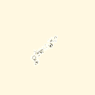 N#CCNC(=O)c1cn(CC(F)CCc2nnc(NC(=O)Cc3cccc(OC(F)(F)F)c3)s2)nn1